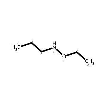 CCCNOCC